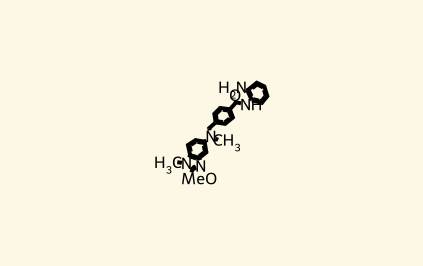 COc1nc2cc(N(C)Cc3ccc(C(=O)Nc4ccccc4N)cc3)ccc2n1C